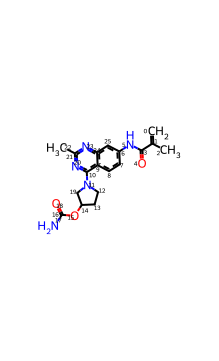 C=C(C)C(=O)Nc1ccc2c(N3CCC(OC(N)=O)C3)nc(C)nc2c1